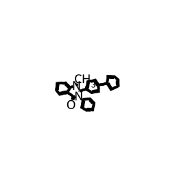 CN1c2ccccc2C(=O)N(c2ccccc2)C1c1ccc(-c2ccccc2)cc1